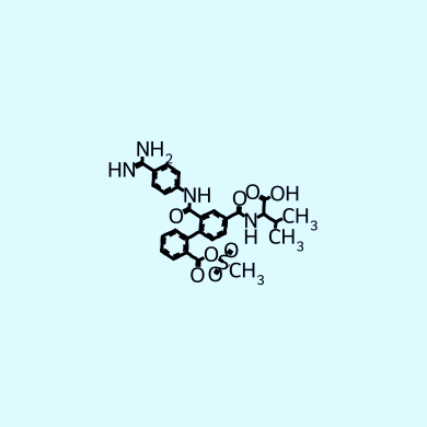 CC(C)C(NC(=O)c1ccc(-c2ccccc2C(=O)OS(C)(=O)=O)c(C(=O)Nc2ccc(C(=N)N)cc2)c1)C(=O)O